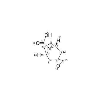 O=C(O)N1[C@@H]2CC[C@H]1C[C@@]1(CO1)C2